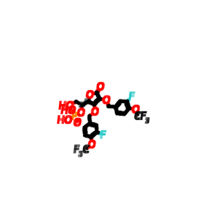 O=C1O[C@H]([C@H](CO)OP(=O)(O)O)C(OCc2ccc(OC(F)(F)F)c(F)c2)=C1OCc1ccc(OC(F)(F)F)c(F)c1